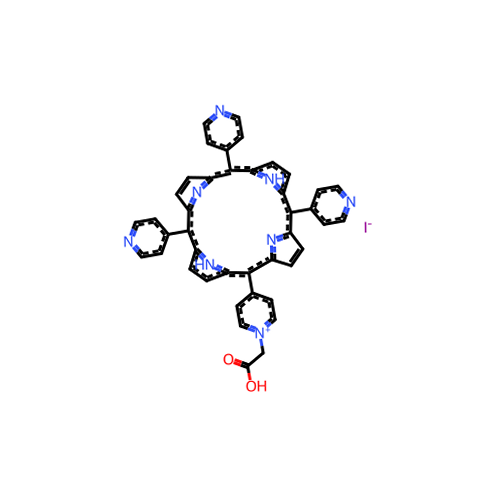 O=C(O)C[n+]1ccc(-c2c3nc(c(-c4ccncc4)c4ccc([nH]4)c(-c4ccncc4)c4nc(c(-c5ccncc5)c5ccc2[nH]5)C=C4)C=C3)cc1.[I-]